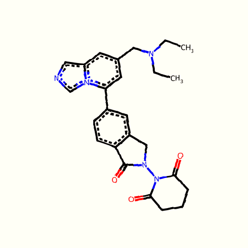 CCN(CC)Cc1cc(-c2ccc3c(c2)CN(N2C(=O)CCCC2=O)C3=O)n2cncc2c1